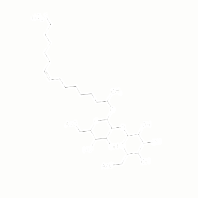 CC(=O)OCC1OC(OC2C(OC(C)CCCCCC/C=C\CCCCCC(=O)O)OC(COC(C)=O)C(O)C2O)C(O)C(O)C1O